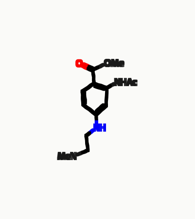 CNCCNc1ccc(C(=O)OC)c(NC(C)=O)c1